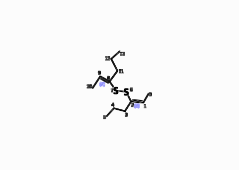 C/C=C(/CCC)SS/C(=C\C)CCC